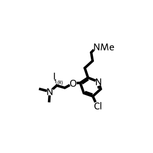 CNCCCc1ncc(Cl)cc1OC[C@@H](I)N(C)C